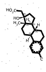 C[C@]12CC[C@@H]3c4ccc(O)cc4CC[C@H]3[C@@H]1CC[C@@]2(O)CC(=O)O